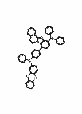 c1ccc(N(c2ccc(-c3ccc(N(c4ccccc4)c4ccccc4)c4sc5c6ccccc6ccc5c34)cc2)c2ccc3c(c2)Oc2ccccc2O3)cc1